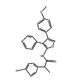 COc1ccc(-c2noc(NC(=O)C(C)c3ccc(Cl)cc3)c2-c2ccncc2)cc1